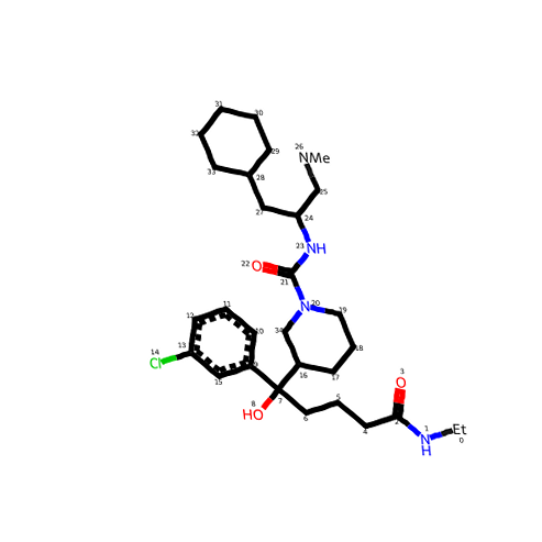 CCNC(=O)CCCC(O)(c1cccc(Cl)c1)C1CCCN(C(=O)NC(CNC)CC2CCCCC2)C1